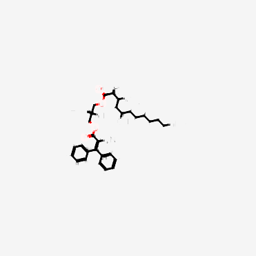 CCCCCCCCCCCCCCCCC(C)CC(C(=O)O)C(C)C(=O)OCC(C)(C)COC(=O)C(C#N)=C(c1ccccc1)c1ccccc1